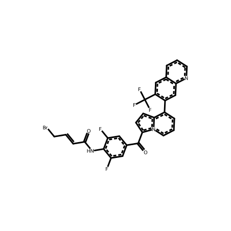 O=C(/C=C/CBr)Nc1c(F)cc(C(=O)c2ccc3c(-c4cc5ncccc5cc4C(F)(F)F)cccn23)cc1F